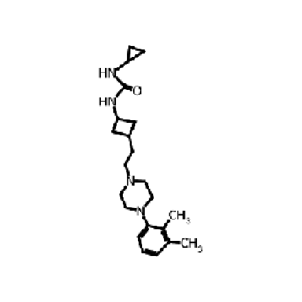 Cc1cccc(N2CCN(CCC3CC(NC(=O)NC4CC4)C3)CC2)c1C